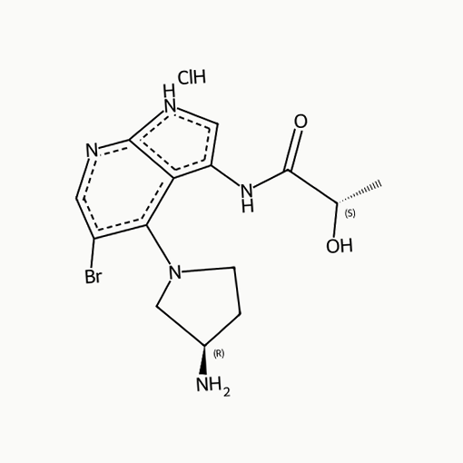 C[C@H](O)C(=O)Nc1c[nH]c2ncc(Br)c(N3CC[C@@H](N)C3)c12.Cl